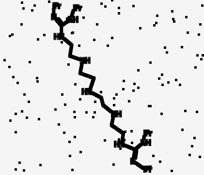 CC(C)N=C(NCCNCCNCCNCCNC(=NC(C)C)NC(C)C)NC(C)C